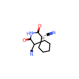 N#CC1C(=O)NC(=O)[C@H](C#N)C12CCCCC2